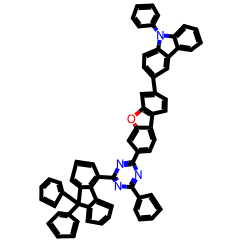 c1ccc(-c2nc(-c3ccc4c(c3)oc3cc(-c5ccc6c(c5)c5ccccc5n6-c5ccccc5)ccc34)nc(-c3cccc4c3-c3ccccc3C4(c3ccccc3)c3ccccc3)n2)cc1